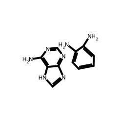 Nc1ccccc1N.Nc1ncnc2nc[nH]c12